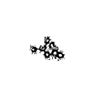 c1cncc(-c2cc(-c3cccc(-c4nc5ccccc5c5nc6ccccn6c45)c3)cc(-c3cccnc3)n2)c1